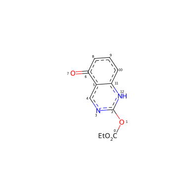 CCOC(=O)Oc1ncc2c(=O)cccc-2[nH]1